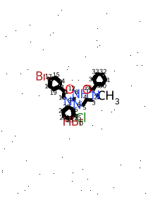 Br.CN(CCCn1c(=N)n(CC(=O)c2ccc(Br)cc2)c2cccc(Cl)c21)C(=O)c1ccccc1